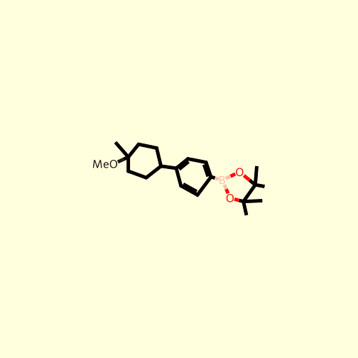 COC1(C)CCC(c2ccc(B3OC(C)(C)C(C)(C)O3)cc2)CC1